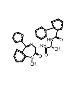 C[C@H](NC(=O)c1ccccc1-c1ccccc1)C(=O)N[C@H]1N=C(c2ccccc2)c2ccccc2N(C)C1=O